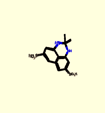 CC1(C)Nc2cc(S(=O)(=O)O)cc3cc(S(=O)(=O)O)cc(c23)N1